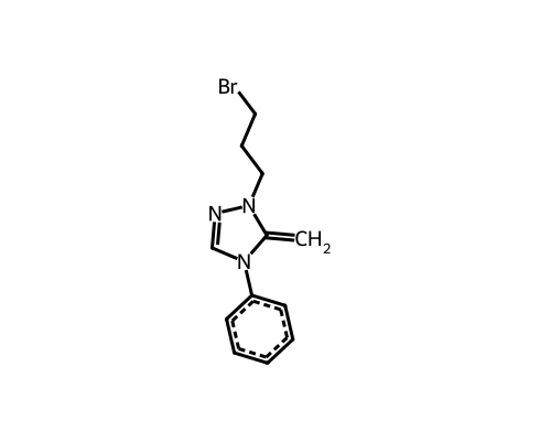 C=C1N(CCCBr)N=CN1c1ccccc1